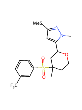 CSc1cc(C2CC(C)(S(=O)(=O)c3cccc(C(F)(F)F)c3)CCO2)n(C)n1